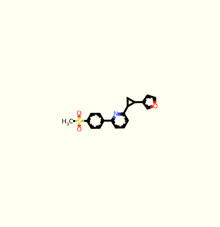 CS(=O)(=O)c1ccc(-c2cccc(C3CC3c3ccoc3)n2)cc1